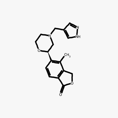 Cc1c([C@@H]2CN(Cc3cn[nH]c3)CCO2)ccc2c1COC2=O